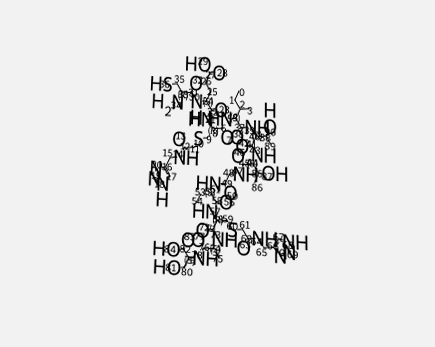 CCC(C)[C@H](NC(=O)[C@H](CSCC(=O)NCc1c[nH]nn1)NC(=O)[C@H](CCC(=O)O)NC(=O)[C@@H](N)CS)C(=O)N[C@H](C(=O)N[C@H](C(=O)NCC(=O)N[C@@H](CC)C(=O)N[C@@H](CSCC(=O)NCc1c[nH]nn1)C(=O)N[C@@H](C)C(=O)N[C@@H](CO)C(=O)O)C(C)O)C(C)O